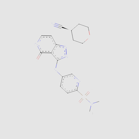 CN(C)S(=O)(=O)c1ccc(Nc2nn([C@H]3COCC[C@@H]3C#N)c3cc[nH]c(=O)c23)cn1